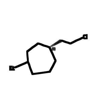 CCC1CCC[C@@H](CCCl)CC1